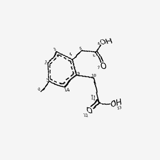 Cc1ccc(CC(=O)O)c(CC(=O)O)c1